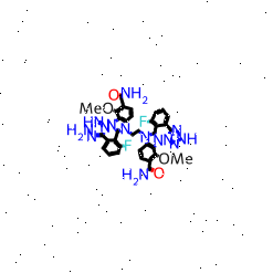 COc1c(C(N)=O)ccc2c1nc(-c1c(F)cccc1/C(N=N)=N/N)n2CCn1c(-c2c(F)cccc2-c2nn[nH]n2)nc2c(OC)c(C(N)=O)ccc21